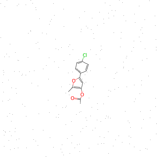 CC(=O)Oc1cc(-c2ccc(Cl)cc2)oc1C